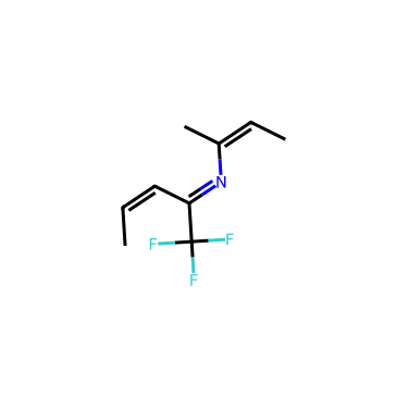 C\C=C/C(=N\C(C)=C/C)C(F)(F)F